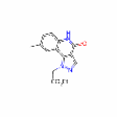 CCOC(=O)Cn1ncc2c(=O)[nH]c3ccc(C)cc3c21